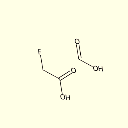 O=C(O)CF.O=CO